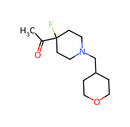 CC(=O)C1(F)CCN(CC2CCOCC2)CC1